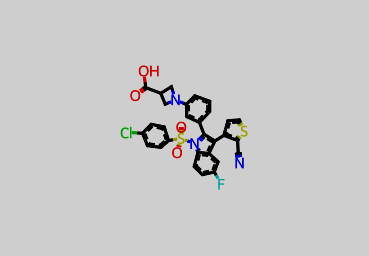 N#Cc1sccc1-c1c(-c2cccc(N3CC(C(=O)O)C3)c2)n(S(=O)(=O)c2ccc(Cl)cc2)c2ccc(F)cc12